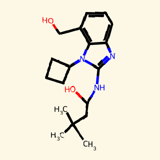 CC(C)(C)CC(O)Nc1nc2cccc(CO)c2n1C1CCC1